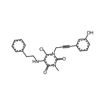 Cn1c(=O)c(NCCc2ccccc2)c(Cl)n(CC#Cc2cccc(O)c2)c1=O